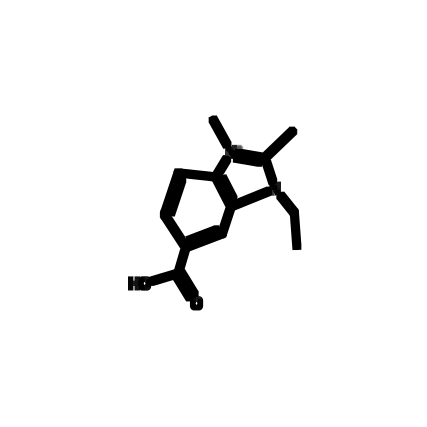 CCn1c(C)[n+](C)c2ccc(C(=O)O)cc21